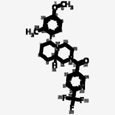 COc1ccc([C@H]2CCC[C@H]3CN(C(=O)c4ccc(C(F)(F)F)nc4)CCN32)c(C)c1